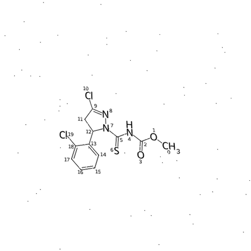 COC(=O)NC(=S)N1N=C(Cl)CC1c1ccccc1Cl